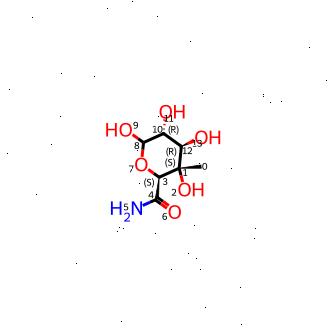 C[C@@]1(O)[C@@H](C(N)=O)OC(O)[C@H](O)[C@H]1O